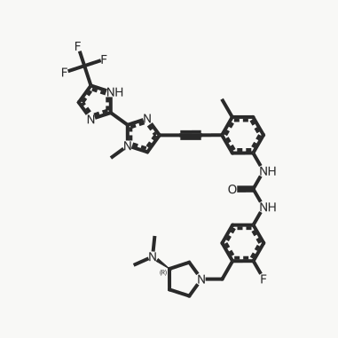 Cc1ccc(NC(=O)Nc2ccc(CN3CC[C@@H](N(C)C)C3)c(F)c2)cc1C#Cc1cn(C)c(-c2ncc(C(F)(F)F)[nH]2)n1